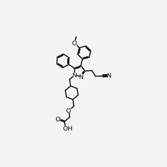 COc1cccc(-c2c(CCC#N)nn(CC3CCC(COCC(=O)O)CC3)c2-c2ccccc2)c1